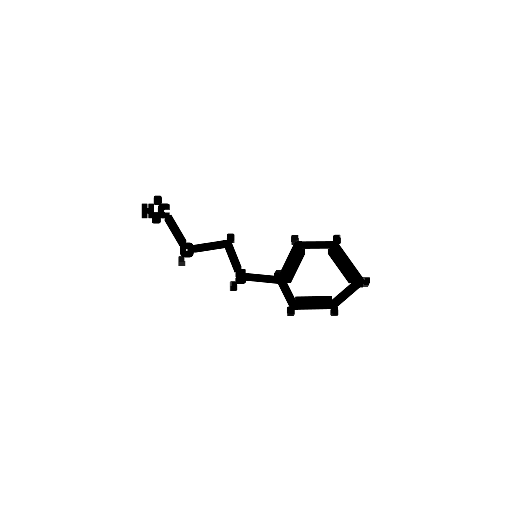 COCSc1cc[c]cc1